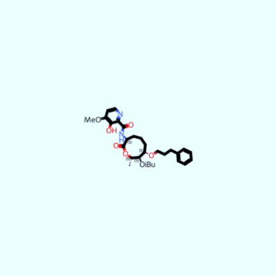 COc1ccnc(C(=O)N[C@H]2CCC[C@H](OCCCc3ccccc3)[C@@H](OCC(C)C)[C@H](C)OC2=O)c1O